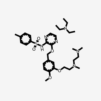 CCN(CC)CC.COc1ccc(COc2nccnc2NS(=O)(=O)c2ccc(C)cc2)cc1OCCN(C)CCN(C)C